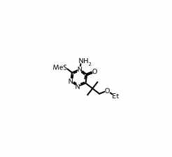 CCOCC(C)(C)c1nnc(SC)n(N)c1=O